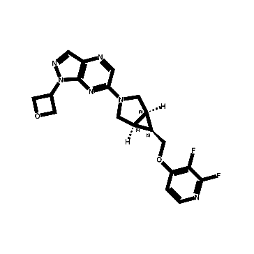 Fc1nccc(OC[C@H]2[C@H]3CN(c4cnc5cnn(C6COC6)c5n4)C[C@@H]23)c1F